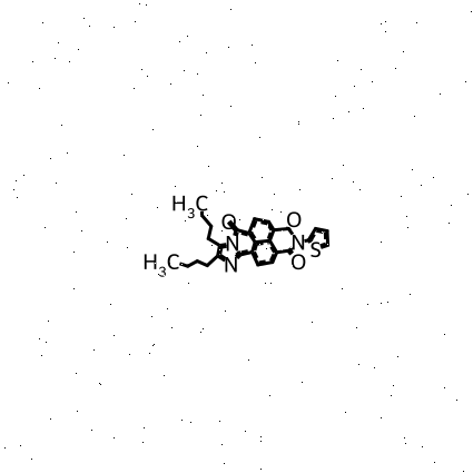 CCCCc1nc2c3ccc4c5c(ccc(c(=O)n2c1CCCC)c53)C(=O)N(c1cccs1)C4=O